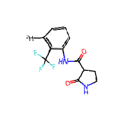 [2H]c1cccc(NC(=O)C2CCNC2=O)c1C(F)(F)F